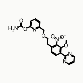 COc1c(-c2ncccn2)ccc(CCOCc2cccc(OC(N)=O)n2)c1[N+](=O)[O-]